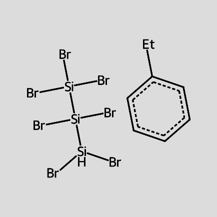 Br[SiH](Br)[Si](Br)(Br)[Si](Br)(Br)Br.CCc1ccccc1